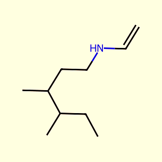 C=CNCCC(C)C(C)CC